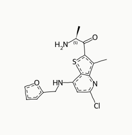 Cc1c(C(=O)[C@H](C)N)sc2c(NCc3ccco3)cc(Cl)nc12